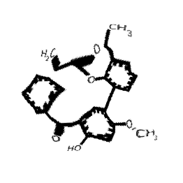 C=CC(=O)Oc1c(CC)cccc1-c1cc(C(=O)c2ccccc2)c(O)cc1OC